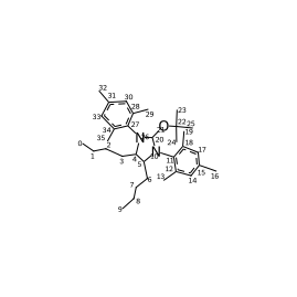 CCCCC1C(CCCC)N(c2c(C)cc(C)cc2C)C(OC(C)(C)C)N1c1c(C)cc(C)cc1C